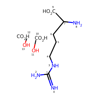 N=C(N)NCCCC(N)C(=O)O.O=C(O)O.O=C(O)O